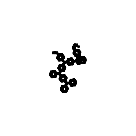 C=Cc1ccc(C23CC4CC(C2)CC(c2ccc(N(c5ccc(CCCC)cc5)c5ccc(N(c6ccccc6)c6ccc(N(c7ccccc7)c7ccccc7)cc6)cc5)cc2)(C4)C3)cc1